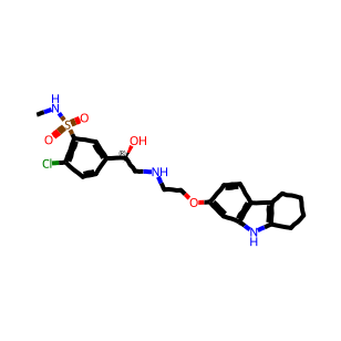 CNS(=O)(=O)c1cc([C@@H](O)CNCCOc2ccc3c4c([nH]c3c2)CCCC4)ccc1Cl